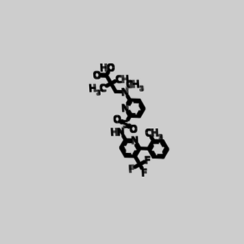 Cc1ccccc1-c1nc(NS(=O)(=O)c2cccc(N(C)CC(C)(C)C(=O)O)n2)ccc1C(F)(F)F